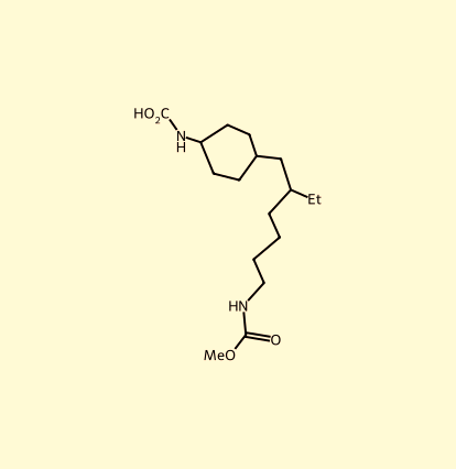 CCC(CCCCNC(=O)OC)CC1CCC(NC(=O)O)CC1